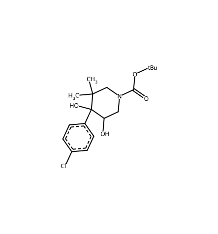 CC(C)(C)OC(=O)N1CC(O)C(O)(c2ccc(Cl)cc2)C(C)(C)C1